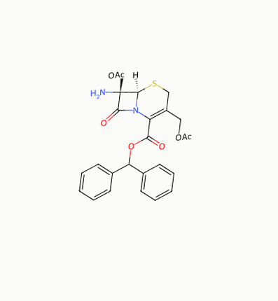 CC(=O)OCC1=C(C(=O)OC(c2ccccc2)c2ccccc2)N2C(=O)[C@@](N)(OC(C)=O)[C@H]2SC1